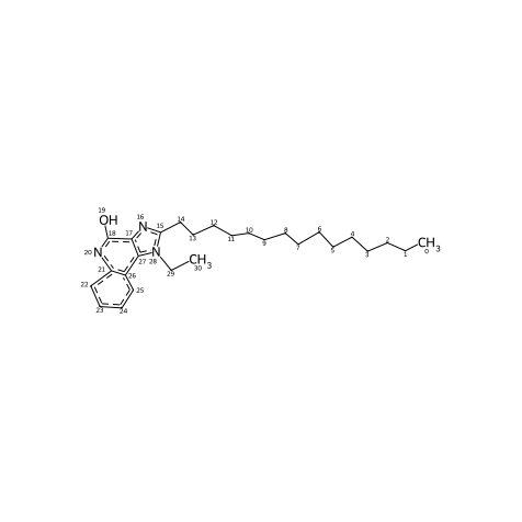 CCCCCCCCCCCCCCCc1nc2c(O)nc3ccccc3c2n1CC